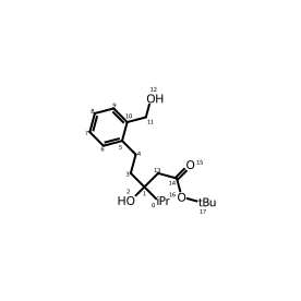 CC(C)C(O)(CCc1ccccc1CO)CC(=O)OC(C)(C)C